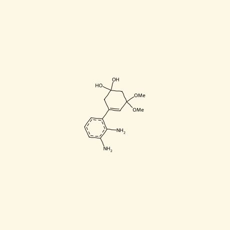 COC1(OC)C=C(c2cccc(N)c2N)CC(O)(O)C1